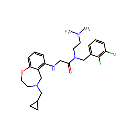 CN(C)CCN(Cc1cccc(Cl)c1Cl)C(=O)CNc1cccc2c1CN(CC1CC1)CCO2